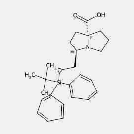 CC(C)(C)[Si](OC[C@H]1CC[C@@]2(C(=O)O)CCCN12)(c1ccccc1)c1ccccc1